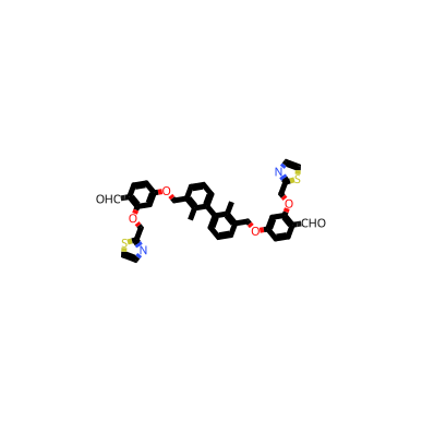 Cc1c(COc2ccc(C=O)c(OCc3nccs3)c2)cccc1-c1cccc(COc2ccc(C=O)c(OCc3nccs3)c2)c1C